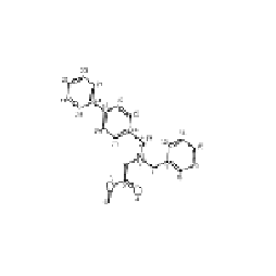 COC(=O)CN(Cc1ccccc1)Sc1ccc(-c2ccccc2)cc1